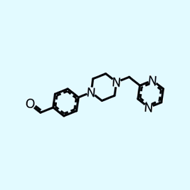 O=Cc1ccc(N2CCN(Cc3cnccn3)CC2)cc1